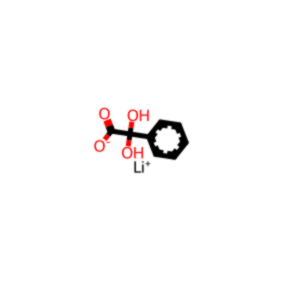 O=C([O-])C(O)(O)c1ccccc1.[Li+]